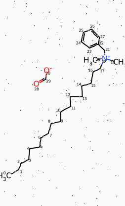 CCCCCCCCCCCCCCCCCC[N+](C)(C)Cc1ccccc1.O=C[O-]